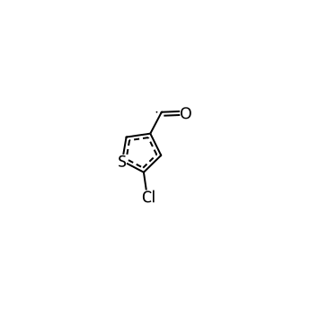 O=[C]c1csc(Cl)c1